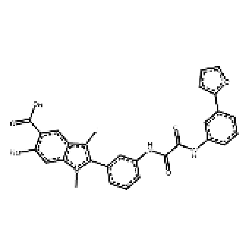 Cn1c(-c2cccc(NC(=O)C(=O)Nc3cccc(-c4ccco4)c3)c2)c(I)c2cc(C(=O)O)c(O)cc21